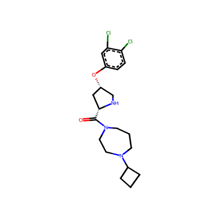 O=C([C@@H]1C[C@H](Oc2ccc(Cl)c(Cl)c2)CN1)N1CCCN(C2CCC2)CC1